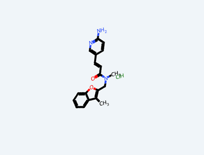 Cc1c(CN(C)C(=O)C=Cc2ccc(N)nc2)oc2ccccc12.Cl